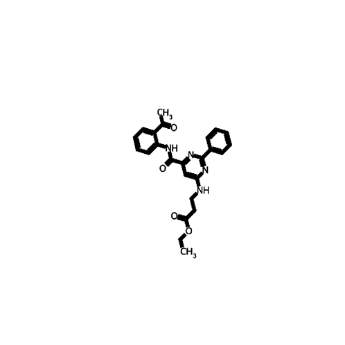 CCOC(=O)CCNc1cc(C(=O)Nc2ccccc2C(C)=O)nc(-c2ccccc2)n1